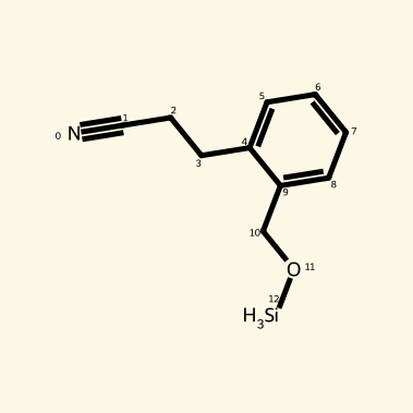 N#CCCc1ccccc1CO[SiH3]